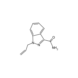 C=CCn1nc(C(N)=O)c2ccccc21